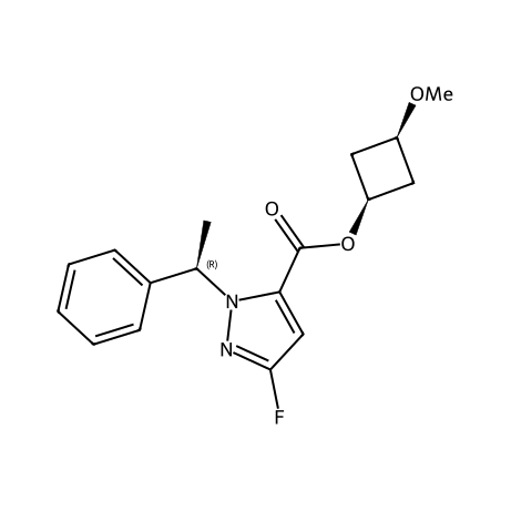 CO[C@H]1C[C@@H](OC(=O)c2cc(F)nn2[C@H](C)c2ccccc2)C1